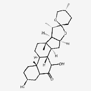 C[C@@H]1CC[C@@]2(OC1)O[C@H]1C[C@H]3[C@@H]4C(O)C(=O)C5C[C@@H](O)CC[C@]5(C)[C@H]4CC[C@]3(C)[C@H]1[C@@H]2C